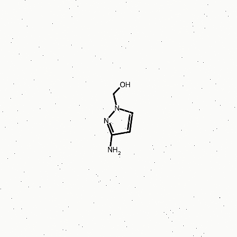 Nc1ccn(CO)n1